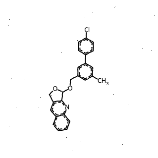 Cc1cc(COC2OCc3cc4ccccc4nc32)cc(-c2ccc(Cl)cc2)c1